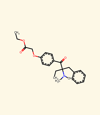 CCOC(=O)COc1ccc(C(=O)C(CC)(Cc2ccccc2)N(C)C)cc1